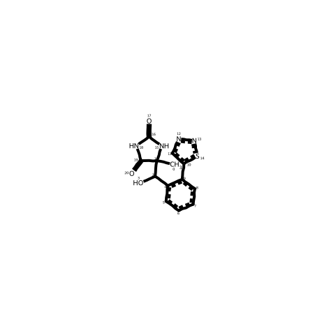 CC1(C(O)c2ccccc2-c2cnns2)NC(=O)NC1=O